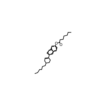 CCCCCCC(=O)Oc1ccc2cc(C3=CCC(CCCCCC)CC3)ccc2c1